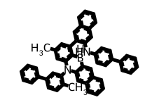 Cc1cc(-c2cc3ccccc3cc2Nc2ccc(-c3ccccc3)cc2)c2c(c1)N(c1cc(-c3ccccc3)ccc1C)c1cc3ccccc3cc1B2